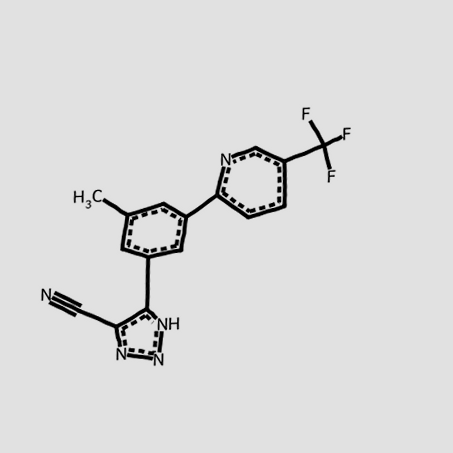 Cc1cc(-c2ccc(C(F)(F)F)cn2)cc(-c2[nH]nnc2C#N)c1